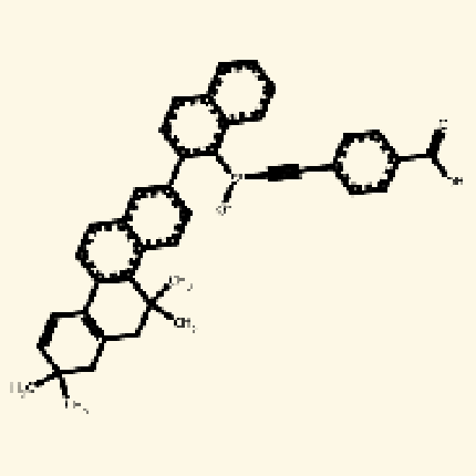 CC1(C)C=CC2=C(C1)CC(C)(C)c1c2ccc2cc(-c3ccc4ccccc4c3[S+]([O-])C#Cc3ccc(C(=O)O)cc3)ccc12